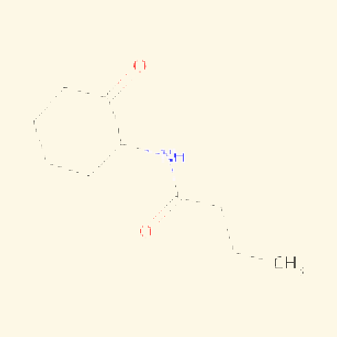 CCCC(=O)NC1CCCCC1=O